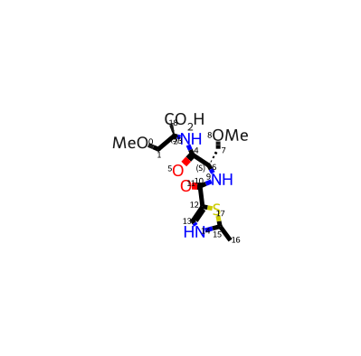 COC[C@H](NC(=O)[C@H](COC)NC(=O)C1=CNC(C)S1)C(=O)O